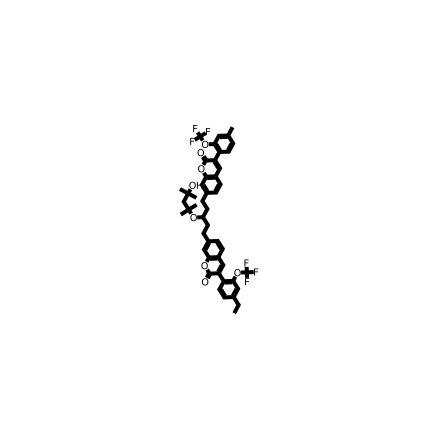 CCc1ccc(-c2cc3ccc(CCC(CCc4ccc5cc(-c6ccc(C)cc6OC(F)(F)F)c(=O)oc5c4)OC(C)(C)CC(C)(C)O)cc3oc2=O)c(OC(F)(F)F)c1